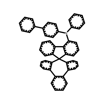 c1ccc(-c2ccc(N(c3ccccc3)c3cccc4c3-c3ccccc3C43c4ccccc4-c4ccccc4-c4ccccc43)cc2)cc1